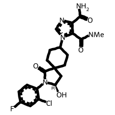 CNC(=O)c1c(C(N)=O)ncn1C1CCC2(CC1)C[C@@H](O)N(c1ccc(F)cc1Cl)C2=O